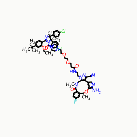 CCOc1cc(C(C)(C)C)ccc1C1=N[C@](C)(c2ccc(Cl)cc2)[C@](C)(c2ccc(Cl)cc2)N1C(=O)N1CCN(CCOCCOCCC(=O)NCCn2nc(C#N)c3c2CN(C)C(=O)c2ccc(F)cc2[C@@H](C)Oc2cc-3cnc2N)CC1